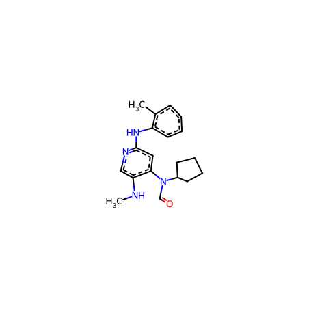 CNc1cnc(Nc2ccccc2C)cc1N(C=O)C1CCCC1